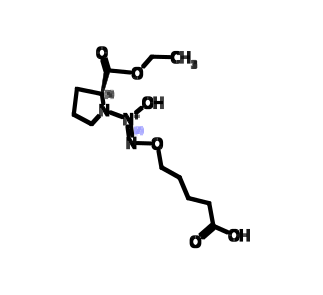 CCOC(=O)[C@@H]1CCCN1/[N+](O)=N/OCCCCC(=O)O